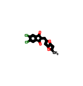 Cc1cc2oc(C=C3C(=O)c4cc(Cl)c(Cl)cc4C3=O)cc2o1